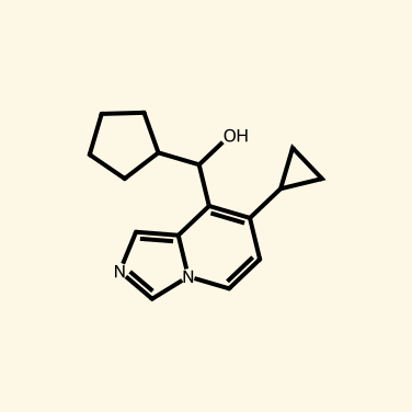 OC(c1c(C2CC2)ccn2cncc12)C1CCCC1